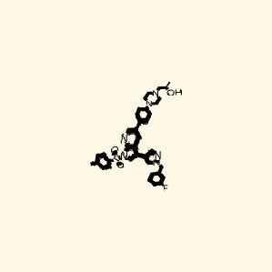 Cc1ccc(S(=O)(=O)n2cc(-c3cnn(Cc4cccc(F)c4)c3)c3cc(-c4ccc(N5CCN(C[C@@H](C)O)CC5)cc4)cnc32)cc1